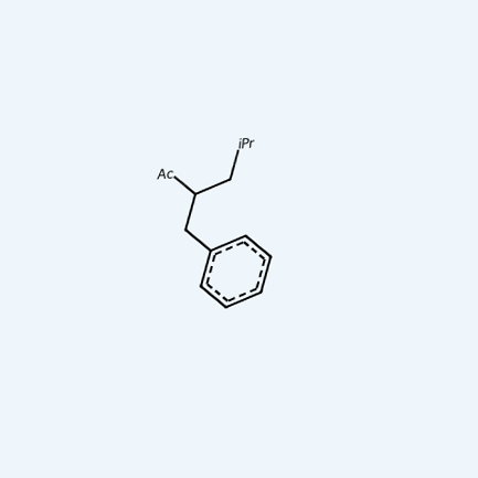 CC(=O)C(Cc1ccccc1)CC(C)C